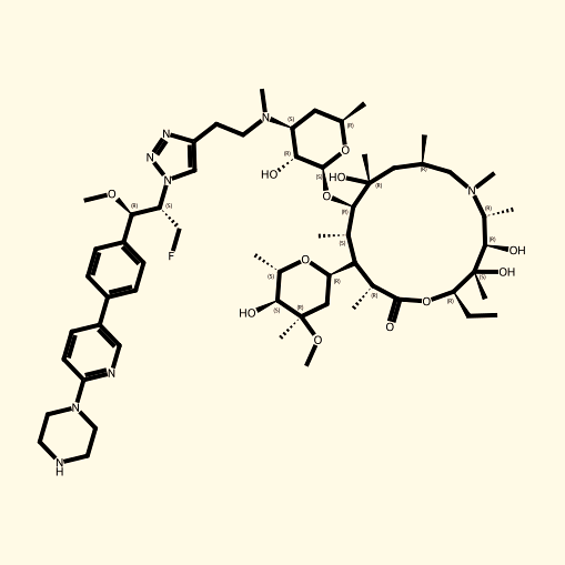 CC[C@H]1OC(=O)[C@H](C)C([C@H]2C[C@@](C)(OC)[C@@H](O)[C@H](C)O2)[C@H](C)[C@@H](O[C@@H]2O[C@H](C)C[C@H](N(C)CCc3cn([C@H](CF)[C@H](OC)c4ccc(-c5ccc(N6CCNCC6)nc5)cc4)nn3)[C@H]2O)[C@](C)(O)C[C@@H](C)CN(C)[C@H](C)[C@@H](O)[C@]1(C)O